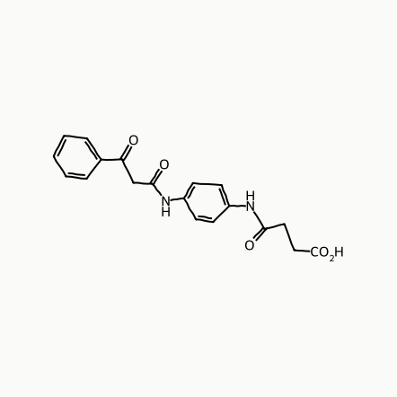 O=C(O)CCC(=O)Nc1ccc(NC(=O)CC(=O)c2ccccc2)cc1